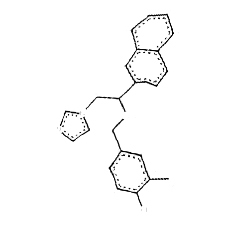 Clc1ccc(CSC(Cn2ccnc2)c2ccc3ccccc3c2)cc1Cl